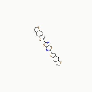 c1cc2cc3sc(-c4nc5sc(-c6cc7cc8sccc8cc7s6)nc5s4)cc3cc2s1